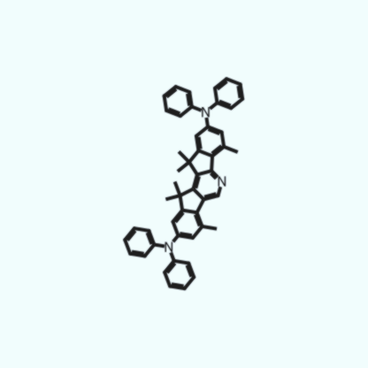 Cc1cc(N(c2ccccc2)c2ccccc2)cc2c1-c1cnc3c(c1C2(C)C)C(C)(C)c1cc(N(c2ccccc2)c2ccccc2)cc(C)c1-3